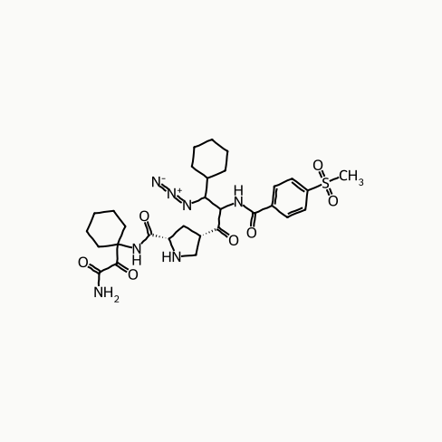 CS(=O)(=O)c1ccc(C(=O)NC(C(=O)[C@@H]2CN[C@H](C(=O)NC3(C(=O)C(N)=O)CCCCC3)C2)C(N=[N+]=[N-])C2CCCCC2)cc1